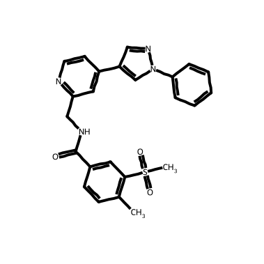 Cc1ccc(C(=O)NCc2cc(-c3cnn(-c4ccccc4)c3)ccn2)cc1S(C)(=O)=O